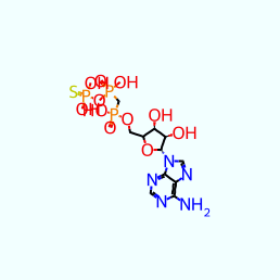 Nc1ncnc2c1ncn2[C@@H]1OC(COP(=O)(O)CP(=O)(O)OP(O)(O)=S)[C@@H](O)[C@H]1O